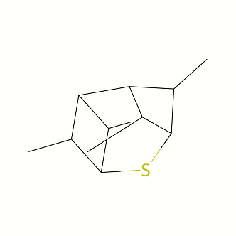 CC1C2SC3C(C)C(C3C)C1C2C